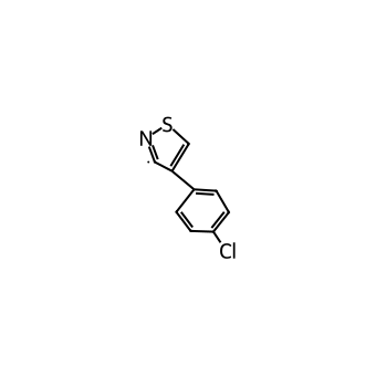 Clc1ccc(-c2[c]nsc2)cc1